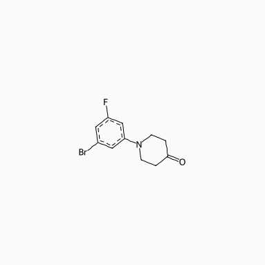 O=C1CCN(c2cc(F)cc(Br)c2)CC1